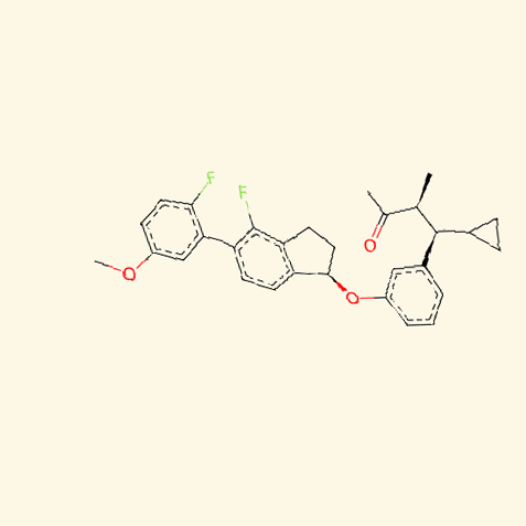 COc1ccc(F)c(-c2ccc3c(c2F)CC[C@H]3Oc2cccc([C@H](C3CC3)[C@H](C)C(C)=O)c2)c1